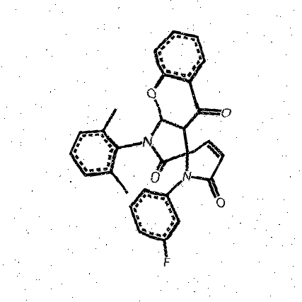 Cc1cccc(C)c1N1C(=O)C2(C=CC(=O)N2c2cccc(F)c2)C2C(=O)c3ccccc3OC21